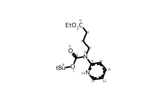 CCOC(=O)CCCN(C(=O)OC(C)(C)C)c1ccccn1